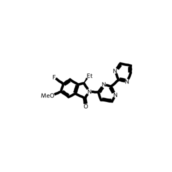 CC[C@@H]1c2cc(F)c(OC)cc2C(=O)N1c1ccnc(-c2ncccn2)n1